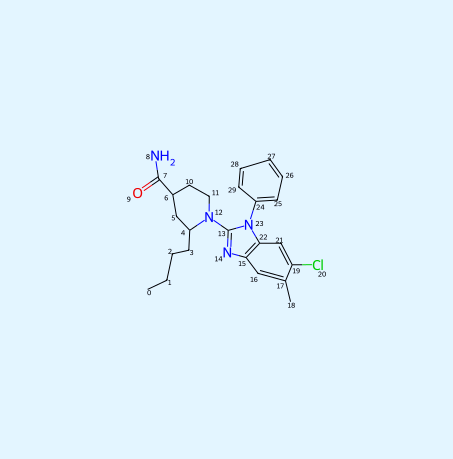 CCCCC1CC(C(N)=O)CCN1c1nc2cc(C)c(Cl)cc2n1-c1ccccc1